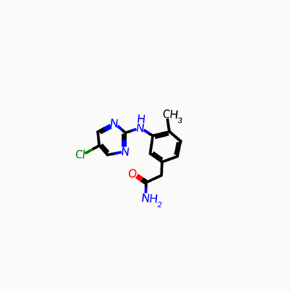 Cc1ccc(CC(N)=O)cc1Nc1ncc(Cl)cn1